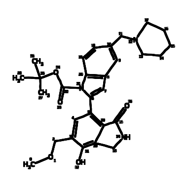 COCc1cc(-c2cc3cc(CN4CCCCC4)ccc3n2C(=O)OC(C)(C)C)c2c(c1O)CNC2=O